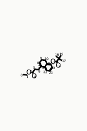 CCOC(=O)CCC1=CCCc2c(OC(=O)C(C)(C)C)cccc21